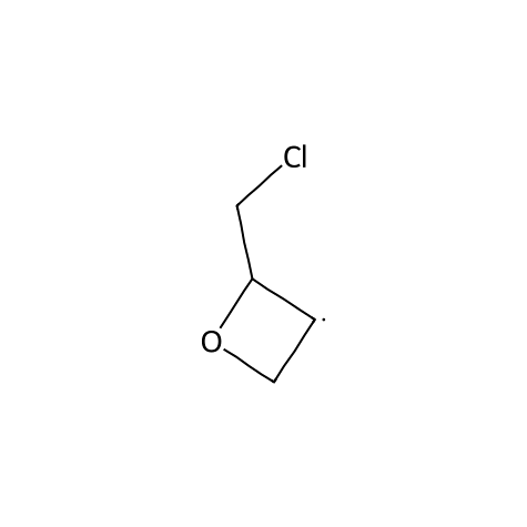 ClCC1[CH]CO1